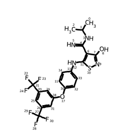 CC(C)NC(=N)c1c(O)nsc1Nc1ccc(Oc2cc(C(F)(F)F)cc(C(F)(F)F)c2)cc1